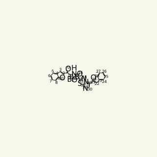 O=C(c1cc2ccccc2o1)C(Br)NS(=O)(=O)c1nn2c(-c3cc4ccccc4o3)cnc2s1